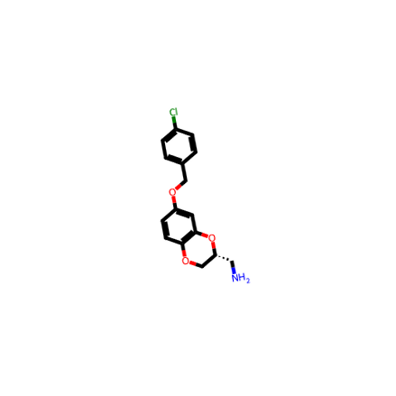 NC[C@@H]1COc2ccc(OCc3ccc(Cl)cc3)cc2O1